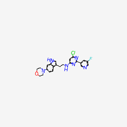 Fc1cncc(-c2nc(Cl)cc(NCCc3c[nH]c4cc(N5CCOCC5)ccc34)n2)c1